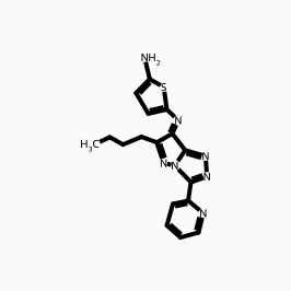 CCCCC1=Nn2c(nnc2-c2ccccn2)/C1=N/c1ccc(N)s1